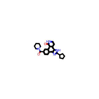 O=C(c1ccc2c(c1)c1c(=O)[nH]ccc1c1[nH]c(C3CCCC3)nc21)N1CCCCC1